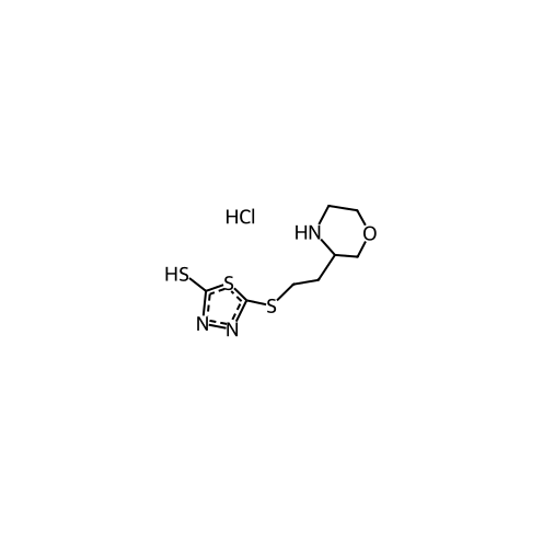 Cl.Sc1nnc(SCCC2COCCN2)s1